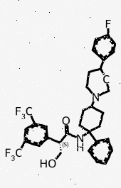 O=C(NC1(c2ccccc2)CCC(N2CCC(c3ccc(F)cc3)CC2)CC1)[C@H](CO)c1cc(C(F)(F)F)cc(C(F)(F)F)c1